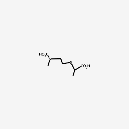 CC(SCCN(C)C(=O)O)C(=O)O